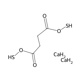 O=C(CCC(=O)OS)OS.[CaH2].[CaH2]